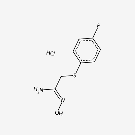 Cl.NC(CSc1ccc(F)cc1)=NO